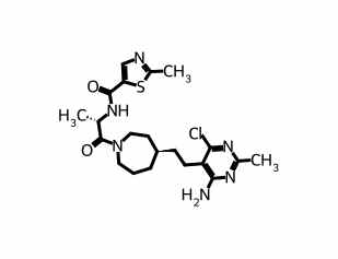 Cc1nc(N)c(CC[C@H]2CCCN(C(=O)[C@H](C)NC(=O)c3cnc(C)s3)CC2)c(Cl)n1